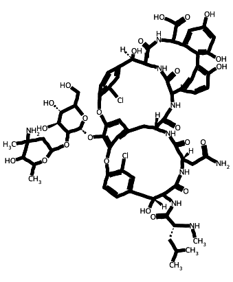 CN[C@H](CC(C)C)C(=O)NC1C(=O)N[C@@H](CC(N)=O)C(=O)N[C@@H]2Cc3cc(c(O[C@H]4OC(CO)[C@@H](O)[C@H](O)C4OC4CC(C)(N)C(O)C(C)O4)c(c3)Oc3ccc(cc3Cl)[C@@H](O)[C@@H]3NC(=O)[C@H](NC2=O)c2ccc(O)c(c2)-c2c(O)cc(O)cc2C(C(=O)O)NC3=O)Oc2ccc(cc2Cl)[C@H]1O